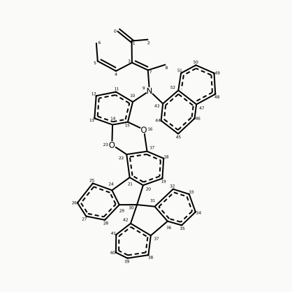 C=C(C)C(/C=C\C)=C(\C)N(c1cccc2c1Oc1ccc3c(c1O2)-c1ccccc1C31c2ccccc2-c2ccccc21)c1cccc2ccccc12